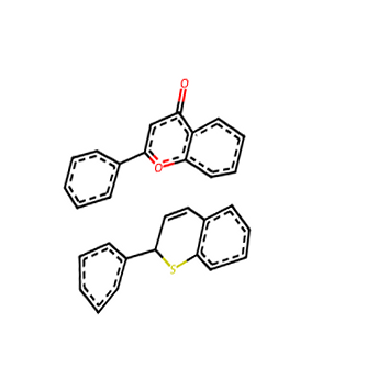 C1=CC(c2ccccc2)Sc2ccccc21.O=c1cc(-c2ccccc2)oc2ccccc12